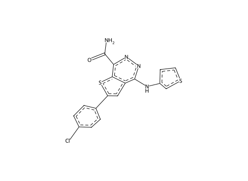 NC(=O)c1nnc(Nc2ccsc2)c2cc(-c3ccc(Cl)cc3)sc12